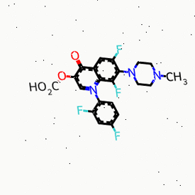 CN1CCN(c2c(F)cc3c(=O)c(OC(=O)O)cn(-c4ccc(F)cc4F)c3c2F)CC1